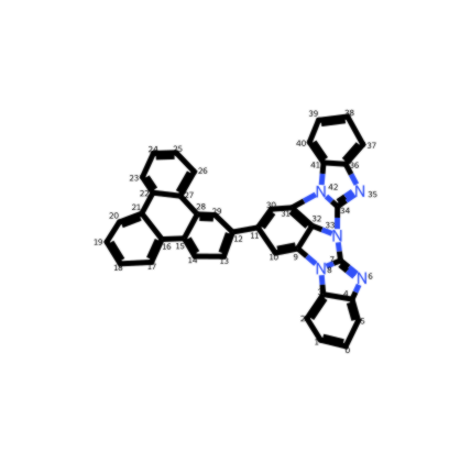 c1ccc2c(c1)nc1n2c2cc(-c3ccc4c5ccccc5c5ccccc5c4c3)cc3c2n1c1nc2ccccc2n31